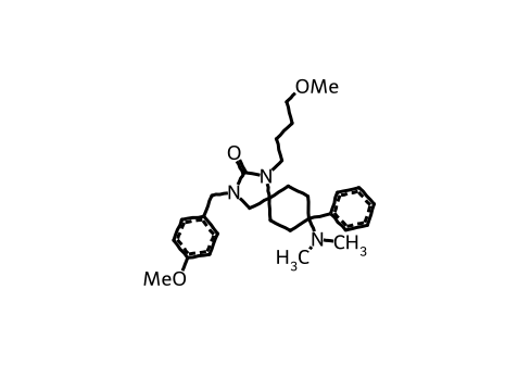 COCCCCN1C(=O)N(Cc2ccc(OC)cc2)CC12CCC(c1ccccc1)(N(C)C)CC2